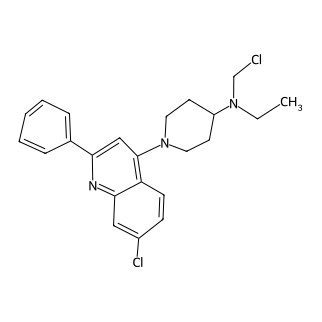 CCN(CCl)C1CCN(c2cc(-c3ccccc3)nc3cc(Cl)ccc23)CC1